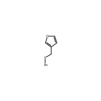 CC(=O)SCc1ccoc1